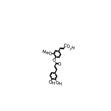 COc1cc(C=CC(=O)O)ccc1OC(=O)C=Cc1ccc(O)c(O)c1